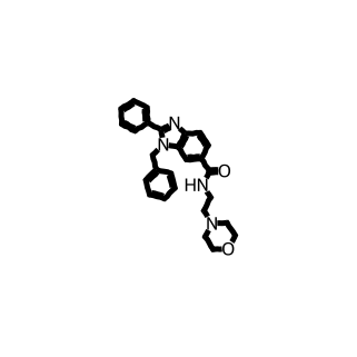 O=C(NCCN1CCOCC1)c1ccc2nc(-c3ccccc3)n(Cc3ccccc3)c2c1